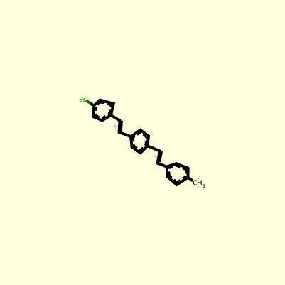 Cc1ccc(/C=C/c2ccc(/C=C/c3ccc(Br)cc3)cc2)cc1